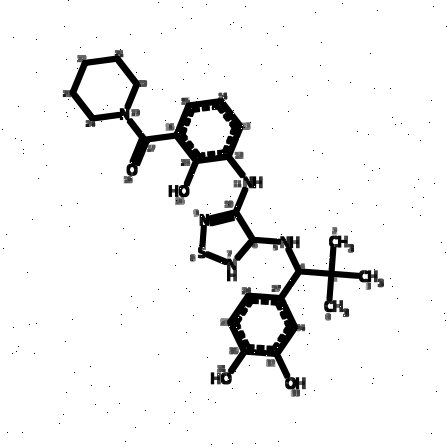 CC(C)(C)C(NC1NSN=C1Nc1cccc(C(=O)N2CCCCC2)c1O)c1ccc(O)c(O)c1